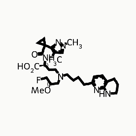 CO[C@H](CF)CN(CCCCc1ccc2c(n1)NCCC2)CC[C@H](NC(=O)C1(c2nn(C)cc2C(F)(F)F)CC1)C(=O)O